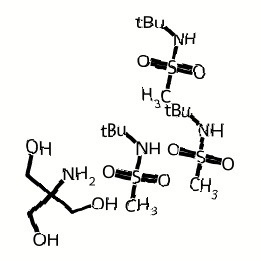 CC(C)(C)NS(C)(=O)=O.CC(C)(C)NS(C)(=O)=O.CC(C)(C)NS(C)(=O)=O.NC(CO)(CO)CO